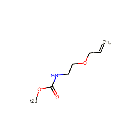 C=CCOCCNC(=O)OC(C)(C)C